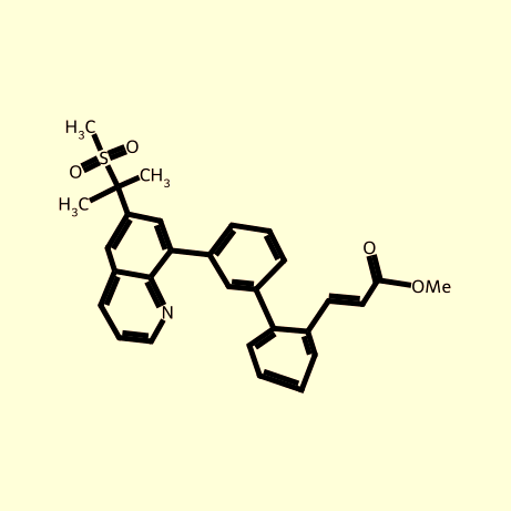 COC(=O)C=Cc1ccccc1-c1cccc(-c2cc(C(C)(C)S(C)(=O)=O)cc3cccnc23)c1